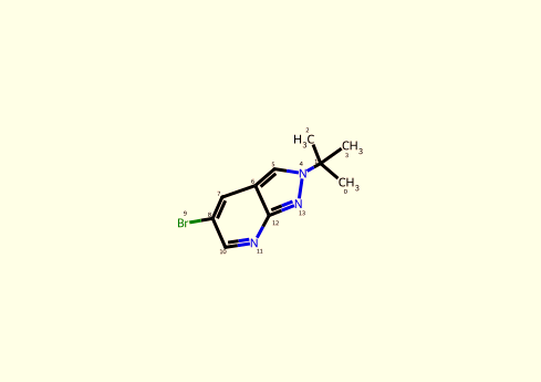 CC(C)(C)n1cc2cc(Br)cnc2n1